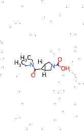 CCN(CC)C(=O)C1[C@H]2CN(C(=O)O)C[C@@H]12